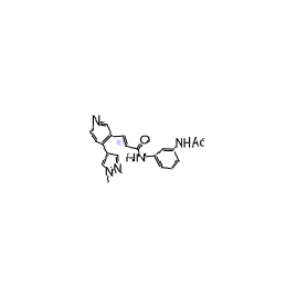 CC(=O)Nc1cccc(NC(=O)/C=C/c2cnccc2-c2cnn(C)c2)c1